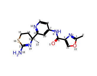 Cc1nc(C(=O)Nc2ccnc([C@]3(C)CCSC(N)=N3)c2)co1